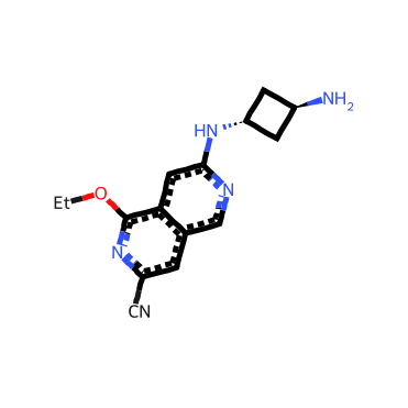 CCOc1nc(C#N)cc2cnc(N[C@H]3C[C@H](N)C3)cc12